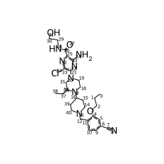 CCCOc1cc(C#N)ccc1CN1CCC(N2CCN(c3nc(N)c(C(=O)NCCO)nc3Cl)C[C@@H]2CC)CC1